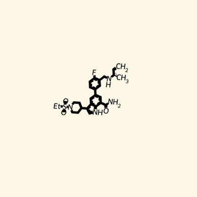 C=C[C@H](C)NCc1cc(-c2cc(C(N)=O)c3[nH]cc(C4CCN(S(=O)(=O)CC)CC4)c3c2)ccc1F